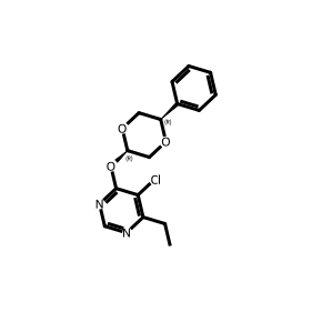 CCc1ncnc(O[C@@H]2CO[C@H](c3ccccc3)CO2)c1Cl